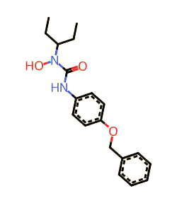 CCC(CC)N(O)C(=O)Nc1ccc(OCc2ccccc2)cc1